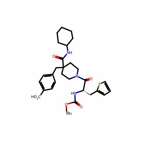 CC(C)(C)OC(=O)N[C@@H](Cc1cccs1)C(=O)N1CCC(Cc2ccc(C(=O)O)cc2)(C(=O)NC2CCCCC2)CC1